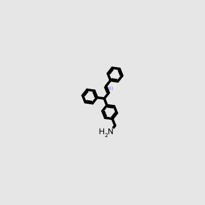 NCc1ccc(C(/C=C/c2ccccc2)c2ccccc2)cc1